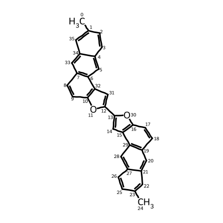 Cc1ccc2cc3c(ccc4oc(-c5cc6c(ccc7cc8cc(C)ccc8cc76)o5)cc43)cc2c1